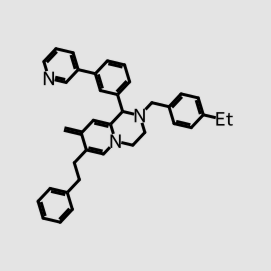 C=C1C=C2C(c3cccc(-c4cccnc4)c3)N(Cc3ccc(CC)cc3)CCN2C=C1CCc1ccccc1